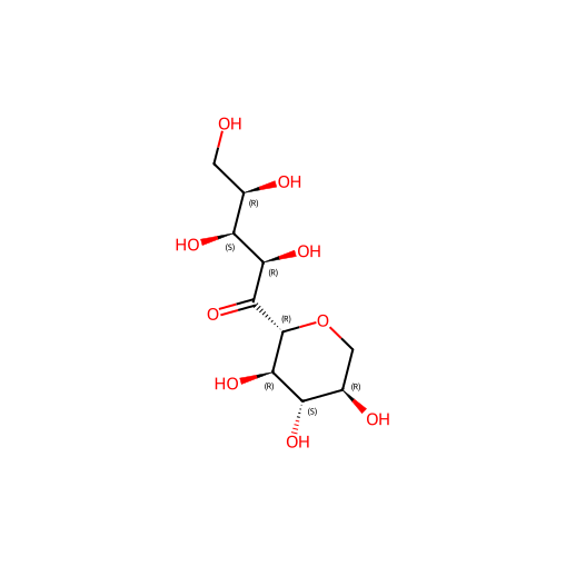 O=C([C@H](O)[C@@H](O)[C@H](O)CO)[C@@H]1OC[C@@H](O)[C@H](O)[C@H]1O